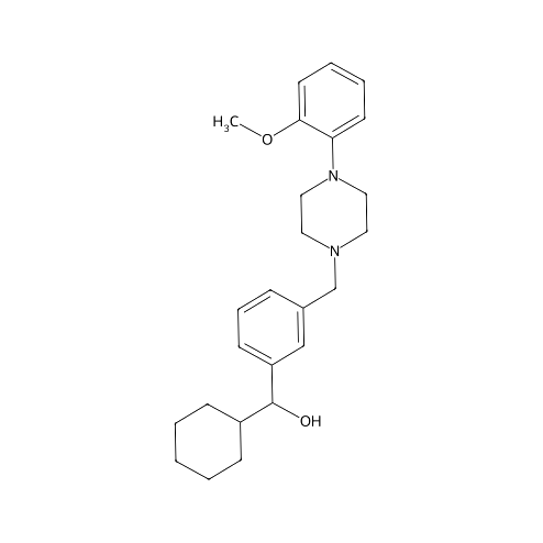 COc1ccccc1N1CCN(Cc2cccc(C(O)C3CCCCC3)c2)CC1